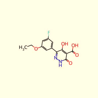 CCOc1cc(F)cc(-c2n[nH]c(=O)c(C(=O)O)c2O)c1